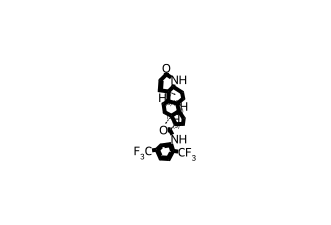 C[C@]12CC[C@H]3[C@@H](CCC4NC(=O)C=C[C@@]43C)[C@@H]1CC[C@@H]2C(=O)Nc1cc(C(F)(F)F)ccc1C(F)(F)F